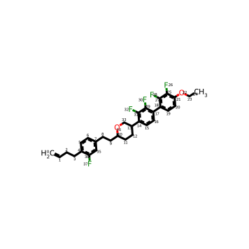 C=CCCc1ccc(CCC2CCC(c3ccc(-c4ccc(OCC)c(F)c4F)c(F)c3F)CO2)cc1F